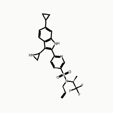 C=CCN([C@@H](C)C(F)(F)F)S(=O)(=O)c1ccc(-c2[nH]c3cc(C4CC4)ccc3c2C2CN2)nc1